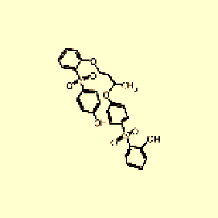 CC(CCOc1ccccc1S(=O)(=O)c1ccc(O)cc1)Oc1ccc(S(=O)(=O)c2ccccc2O)cc1